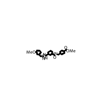 COC(=O)c1ccc(CNC(=O)c2cccc(-c3nnn(Cc4cccc(OC)c4)n3)c2)cc1